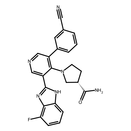 N#Cc1cccc(-c2cncc(-c3nc4c(F)cccc4[nH]3)c2N2CC[C@H](C(N)=O)C2)c1